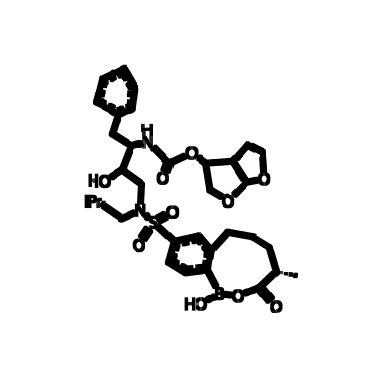 CC(C)CN(CC(O)C(Cc1ccccc1)NC(=O)OC1COC2OCCC12)S(=O)(=O)c1ccc2c(c1)CCC[C@H](C)C(=O)OB2O